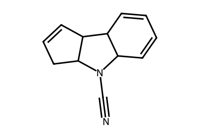 N#CN1C2C=CC=CC2C2C=CCC21